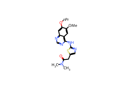 CCCOc1cc2ncnc(Nc3ncc(CC(=O)N(C)C)s3)c2cc1OC